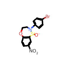 O=[N+]([O-])c1ccc2c(c1)[S+]([O-])N(c1ccc(Br)cc1)CCO2